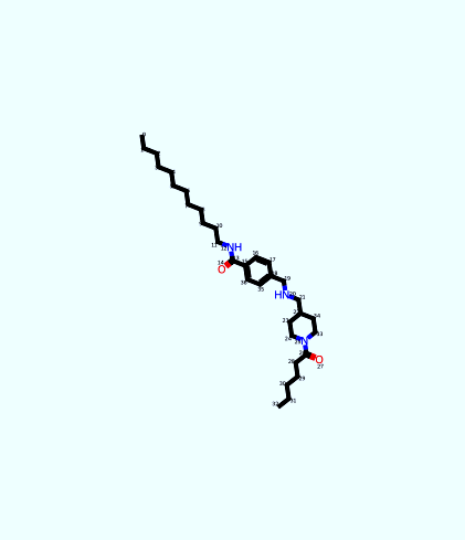 CCCCCCCCCCCCNC(=O)c1ccc(CNCC2CCN(C(=O)CCCCC)CC2)cc1